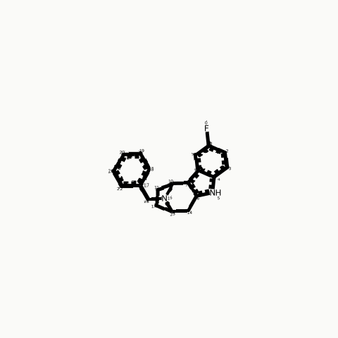 Fc1ccc2[nH]c3c(c2c1)C1CCC(C3)N1Cc1ccccc1